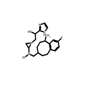 CCN(CC1CCc2ccc(F)cc2C(C)CC1)C1CN1CC(S)c1ncc[nH]1